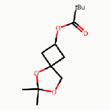 CC1(C)OCC2(CC(OC(=O)C(C)(C)C)C2)O1